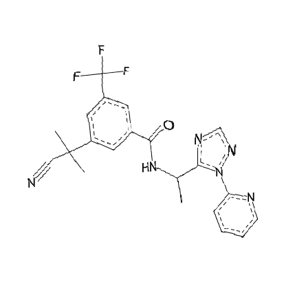 CC(NC(=O)c1cc(C(F)(F)F)cc(C(C)(C)C#N)c1)c1ncnn1-c1ccccn1